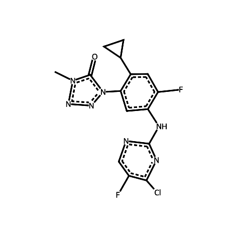 Cn1nnn(-c2cc(Nc3ncc(F)c(Cl)n3)c(F)cc2C2CC2)c1=O